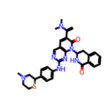 C=C(c1cc2cnc(Nc3ccc(C4CN(C)CCS4)cc3)nc2n(C2Cc3ccccc3C(=O)N2)c1=O)N(C)C